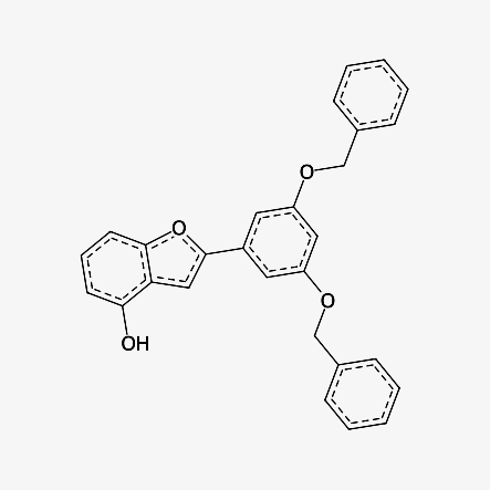 Oc1cccc2oc(-c3cc(OCc4ccccc4)cc(OCc4ccccc4)c3)cc12